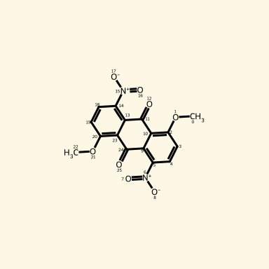 COc1ccc([N+](=O)[O-])c2c1C(=O)c1c([N+](=O)[O-])ccc(OC)c1C2=O